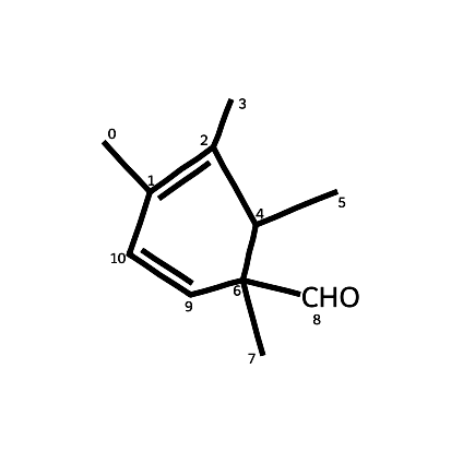 CC1=C(C)C(C)C(C)(C=O)C=C1